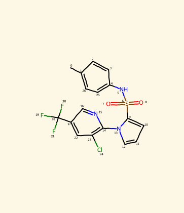 Cc1ccc(NS(=O)(=O)c2cccn2-c2ncc(C(F)(F)F)cc2Cl)cc1